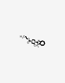 CCCOC(=O)N1CCN(c2nc3cccccc-3n2)C(C)C1